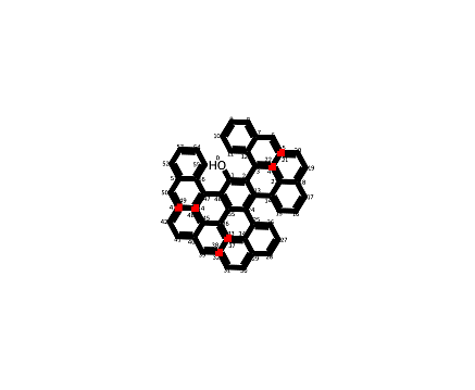 Oc1c(-c2cccc3ccccc23)c(-c2cccc3ccccc23)c(-c2cccc3ccccc23)c(-c2cccc3ccccc23)c1-c1cccc2ccccc12